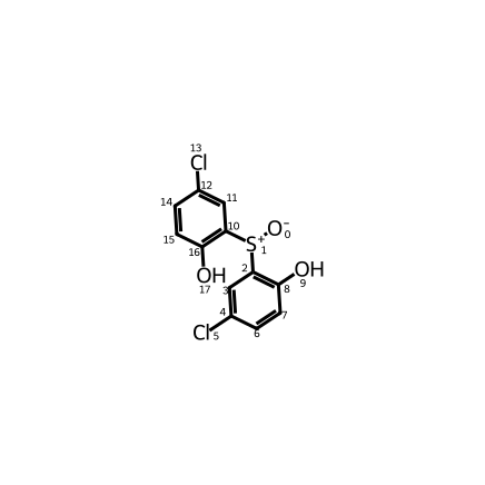 [O-][S+](c1cc(Cl)ccc1O)c1cc(Cl)ccc1O